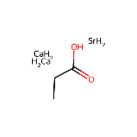 CCC(=O)O.[CaH2].[CaH2].[SrH2]